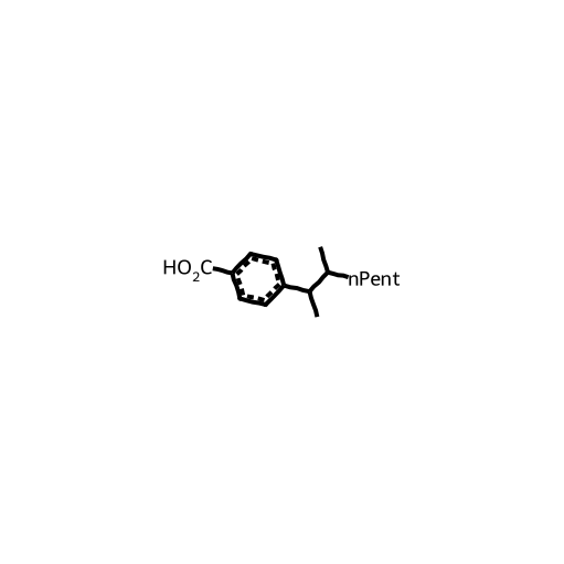 CCCCCC(C)C(C)c1ccc(C(=O)O)cc1